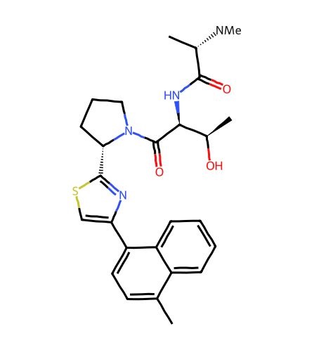 CN[C@@H](C)C(=O)N[C@H](C(=O)N1CCC[C@H]1c1nc(-c2ccc(C)c3ccccc23)cs1)[C@@H](C)O